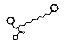 O=C(C1CCC1)N(CCCCCCCCCCc1ccccc1)Cc1ccccc1